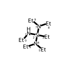 CCN[Si](CC)(N(CC)CC)N(CC)CC